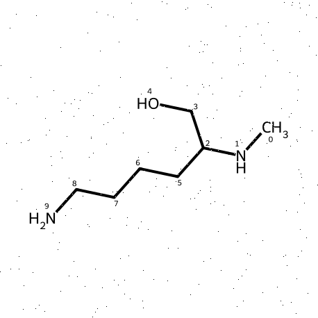 CNC(CO)CCCCN